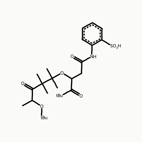 CC(OC(C)(C)C)C(=O)C(C)(C)C(C)(C)OC(CC(=O)Nc1ccccc1S(=O)(=O)O)C(=O)C(C)(C)C